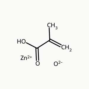 C=C(C)C(=O)O.[O-2].[Zn+2]